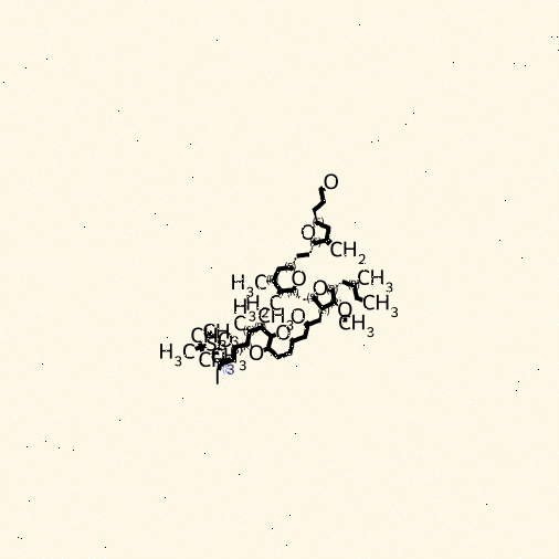 C=C1C[C@H](CCC=O)O[C@H]1CC[C@H]1C[C@@H](C)C(=C)[C@@H](C[C@@H]2O[C@H](C[C@H](C)CC)[C@H](OC)[C@H]2CC(=O)CC2CCC3O[C@@H]([C@H](/C=C/I)O[Si](C)(C)C(C)(C)C)[C@@H](C)[C@@H](C)C3O2)O1